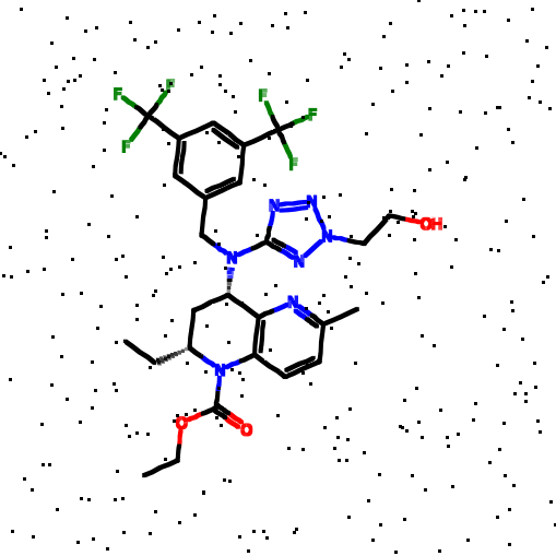 CCOC(=O)N1c2ccc(C)nc2[C@@H](N(Cc2cc(C(F)(F)F)cc(C(F)(F)F)c2)c2nnn(CCO)n2)C[C@H]1CC